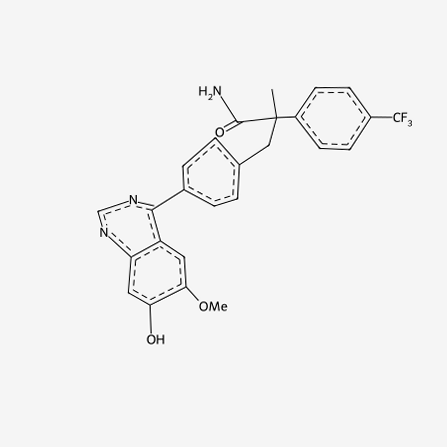 COc1cc2c(-c3ccc(CC(C)(C(N)=O)c4ccc(C(F)(F)F)cc4)cc3)ncnc2cc1O